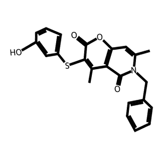 Cc1c(Sc2cccc(O)c2)c(=O)oc2cc(C)n(Cc3ccccc3)c(=O)c12